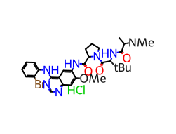 CNC(C)C(=O)NC(C(=O)N1CCCC1C(=O)Nc1cc2c(Nc3ccccc3Br)ncnc2cc1OC)C(C)(C)C.Cl